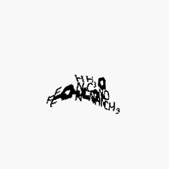 CNC(=O)N(C1CCCCC1)C1CCN(Cc2nc(-c3ccc(C(F)(F)F)cc3)[nH]c2C)CC1